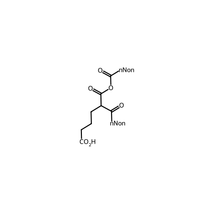 CCCCCCCCCC(=O)OC(=O)C(CCCC(=O)O)C(=O)CCCCCCCCC